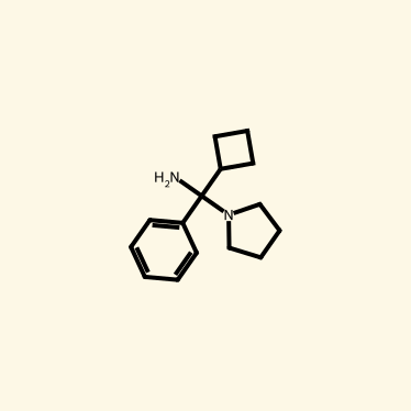 NC(c1ccccc1)(C1CCC1)N1CCCC1